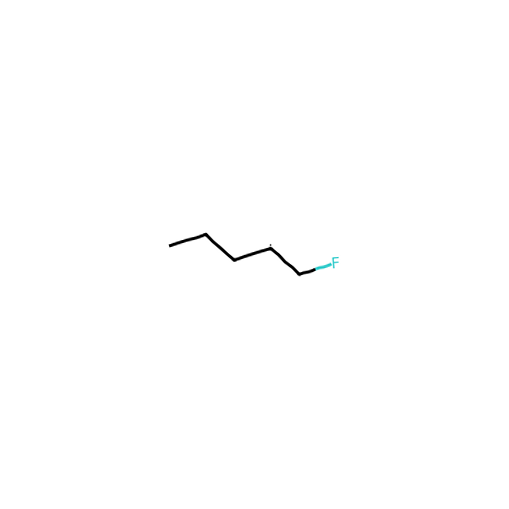 CCC[CH]CF